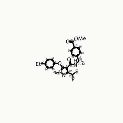 CCc1ccc(Oc2c(C(=O)N[C@@H](C)c3ccc(C(=O)OC)cc3)c(C(F)F)nn2C)cc1